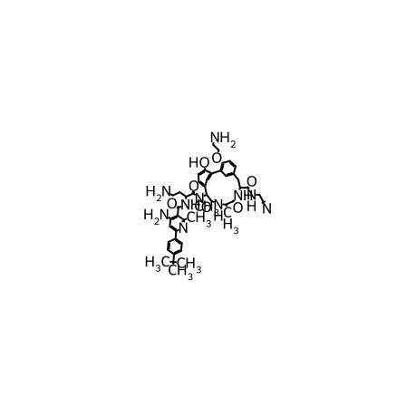 Cc1nc(-c2ccc(C(C)(C)C)cc2)cc(N)c1C(=O)NC(CCN)C(=O)N(C)C1C(=O)NC(C)C(=O)NC(C(=O)NCC#N)Cc2ccc(OCCN)c(c2)-c2cc1ccc2O